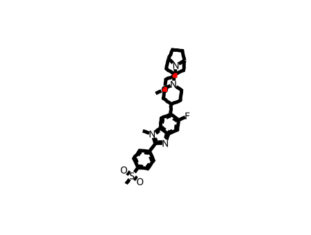 COCCN1C2CCC1CC(N1CCC(c3cc4c(cc3F)nc(-c3ccc(S(C)(=O)=O)cc3)n4C)CC1)C2